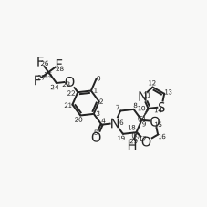 Cc1cc(C(=O)N2CC[C@]3(c4nccs4)OCO[C@@H]3C2)ccc1OCC(F)(F)F